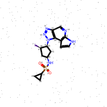 O=S(=O)(N[C@H]1C[C@@H](I)[C@@H](n2nnc3cnc4[nH]ccc4c32)C1)C1CC1